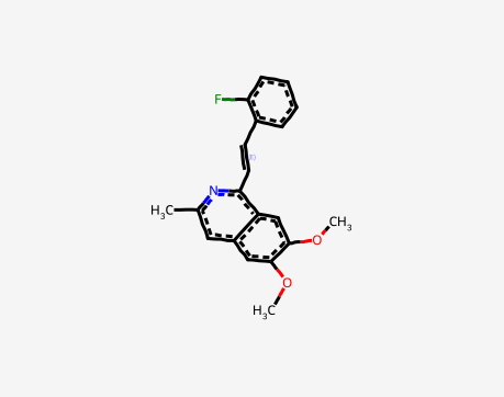 COc1cc2cc(C)nc(/C=C/c3ccccc3F)c2cc1OC